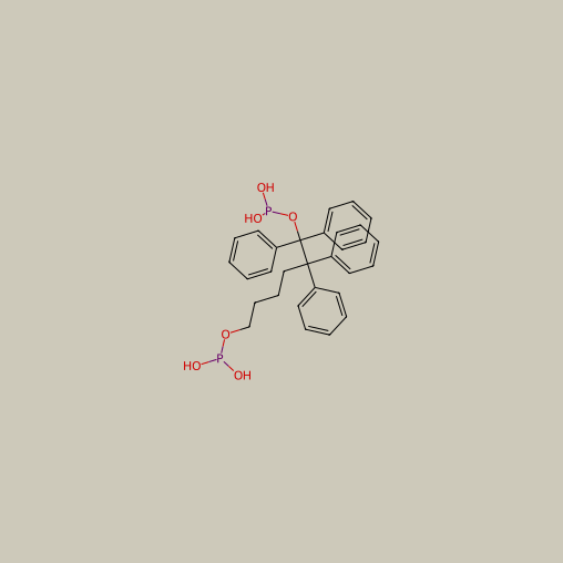 OP(O)OCCCCC(c1ccccc1)(c1ccccc1)C(OP(O)O)(c1ccccc1)c1ccccc1